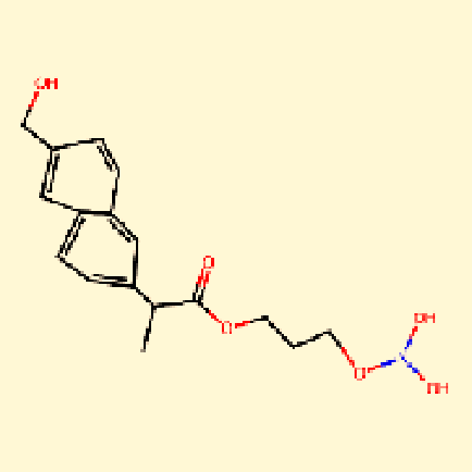 CC(C(=O)OCCCON(O)O)c1ccc2cc(CO)ccc2c1